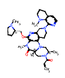 C=CC(=O)N1C[C@@H]2C(=O)N(C)c3c(OC[C@@H]4CCCN4C)nc4c(c3N2C[C@H]1C)CCN(c1nccc2c1N(C)CCC2)C4